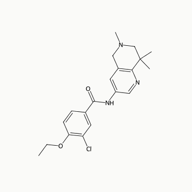 CCOc1ccc(C(=O)Nc2cnc3c(c2)CN(C)CC3(C)C)cc1Cl